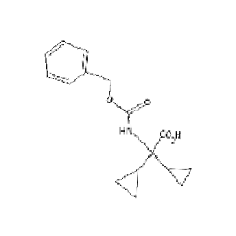 O=C(NC(C(=O)O)(C1CC1)C1CC1)OCc1ccccc1